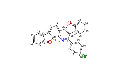 Brc1ccc(-c2nc3c(ccc4c5ccccc5oc43)c3oc4ccccc4c23)cc1